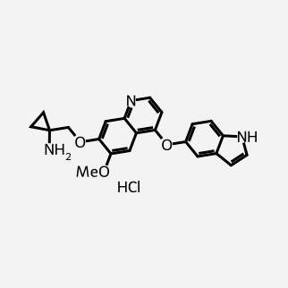 COc1cc2c(Oc3ccc4[nH]ccc4c3)ccnc2cc1OCC1(N)CC1.Cl